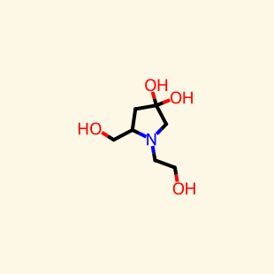 OCCN1CC(O)(O)CC1CO